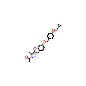 CC(=O)N[C@@H](C)[C@@H]1Cc2ccc(OCc3ccc(OCC4CC4)cc3)cc2O1